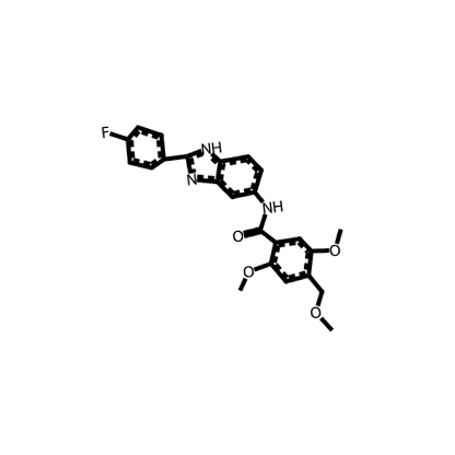 COCc1cc(OC)c(C(=O)Nc2ccc3[nH]c(-c4ccc(F)cc4)nc3c2)cc1OC